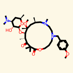 COc1ccc(CN2CCCOC(=O)C(C)(C)C(=O)[C@H](C)[C@@H](O[C@@H]3O[C@H](C)C[C@H](N(C)C)[C@H]3O)[C@](C)(OC)C[C@@H](C)CN(C)CC2)cc1